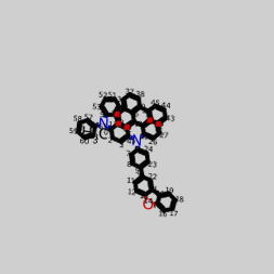 CC12CC=C(N(c3ccc(-c4ccc5oc6ccccc6c5c4)cc3)c3ccccc3-c3cccc4cccc(-c5ccccc5)c34)C=C1c1ccccc1N2c1ccccc1